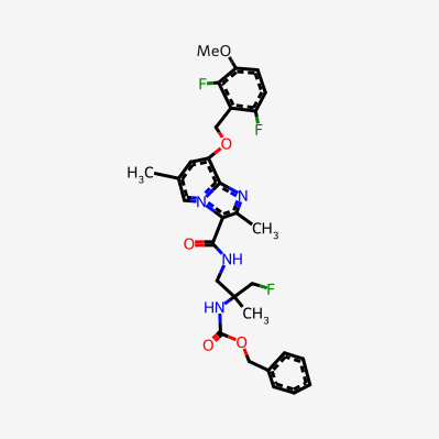 COc1ccc(F)c(COc2cc(C)cn3c(C(=O)NCC(C)(CF)NC(=O)OCc4ccccc4)c(C)nc23)c1F